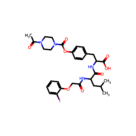 CC(=O)N1CCN(C(=O)Oc2ccc(CC(NC(=O)C(CC(C)C)NC(=O)COc3ccccc3I)C(=O)O)cc2)CC1